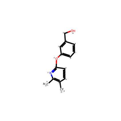 Cc1nc(Oc2cccc(CO)c2)ccc1C(F)(F)F